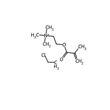 C=C(C)C(=O)OCC[N+](C)(C)C.CCCl